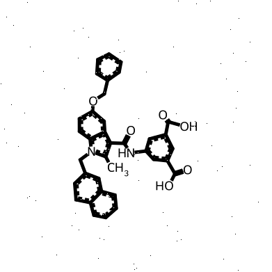 Cc1c(C(=O)Nc2cc(C(=O)O)cc(C(=O)O)c2)c2cc(OCc3ccccc3)ccc2n1Cc1ccc2ccccc2c1